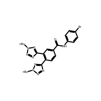 CCCCn1nnc(-c2ccc(C(=O)Nc3ccc(Br)cc3)cc2-c2nnn(CCCC)n2)n1